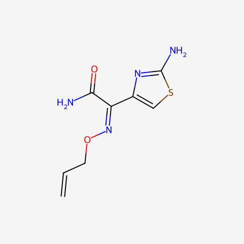 C=CCON=C(C(N)=O)c1csc(N)n1